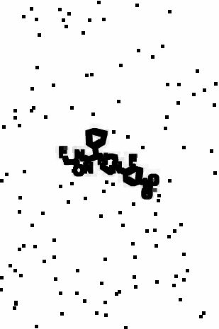 O=[N+]([O-])c1ccc(N2CCN(C(c3ccccc3)c3noc(CF)n3)CC2)c(F)c1